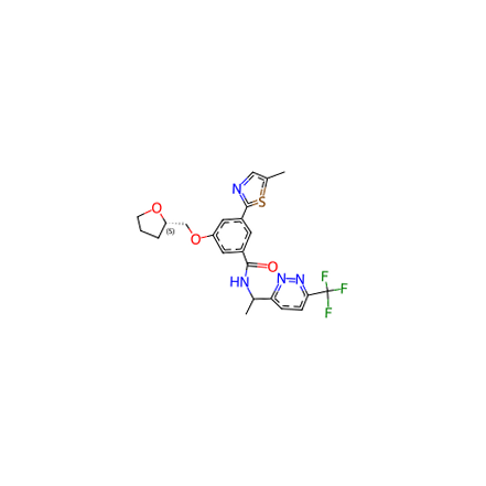 Cc1cnc(-c2cc(OC[C@@H]3CCCO3)cc(C(=O)NC(C)c3ccc(C(F)(F)F)nn3)c2)s1